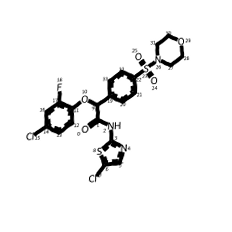 O=C(Nc1n[c]c(Cl)s1)C(Oc1ccc(Cl)cc1F)c1ccc(S(=O)(=O)N2CCOCC2)cc1